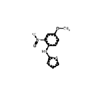 COc1ccc(Nc2cccs2)c([N+](=O)[O-])c1